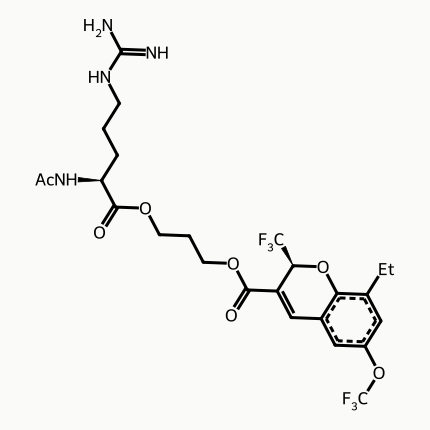 CCc1cc(OC(F)(F)F)cc2c1O[C@H](C(F)(F)F)C(C(=O)OCCCOC(=O)[C@H](CCCNC(=N)N)NC(C)=O)=C2